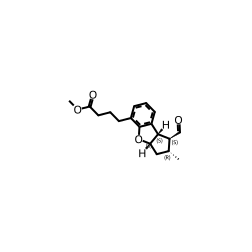 COC(=O)CCCc1cccc2c1O[C@H]1C[C@@H](C)[C@H](C=O)[C@@H]21